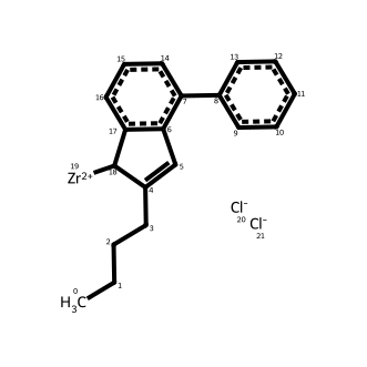 CCCCC1=Cc2c(-c3ccccc3)cccc2[CH]1[Zr+2].[Cl-].[Cl-]